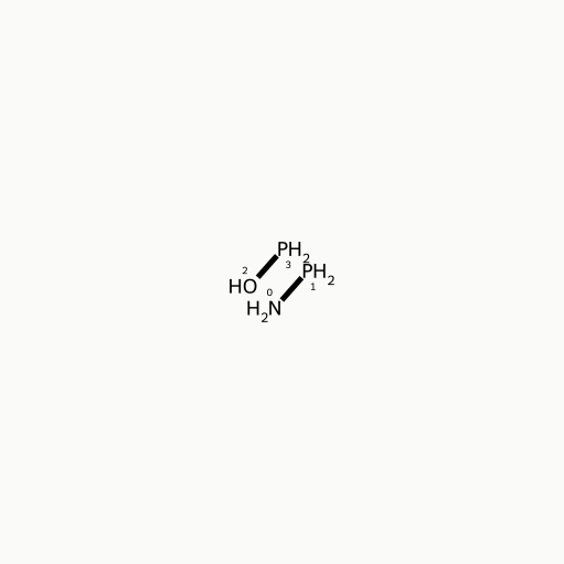 NP.OP